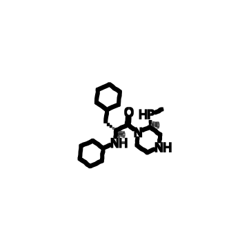 CP[C@@H]1CNCCN1C(=O)[C@@H](CC1CCCCC1)NC1CCCCC1